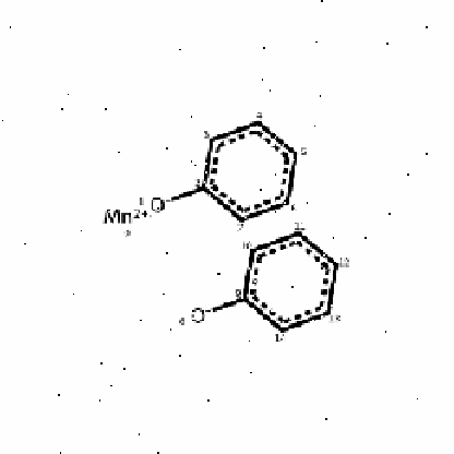 [Mn+2].[O-]c1ccccc1.[O-]c1ccccc1